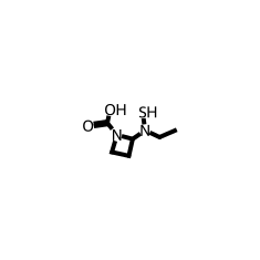 CCN(S)C1CCN1C(=O)O